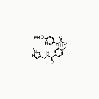 COc1ccc(N(c2cc(C(=O)NCc3cnn(C)c3)ccc2C)[SH](=O)=O)cn1